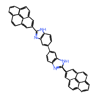 c1cc2ccc3cc(-c4nc5cc(-c6ccc7nc(-c8cc9ccc%10cccc%11ccc(c8)c9c%10%11)[nH]c7c6)ccc5[nH]4)cc4ccc(c1)c2c34